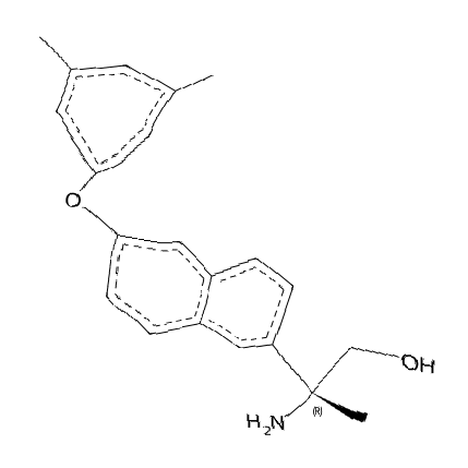 Cc1cc(C)cc(Oc2ccc3cc([C@@](C)(N)CO)ccc3c2)c1